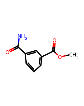 COC(=O)c1cccc(C(N)=O)c1